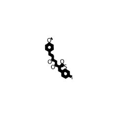 COc1ccc(/C=C/C(=O)CC(=O)c2cc3ccc(I)cc3sc2=O)cc1